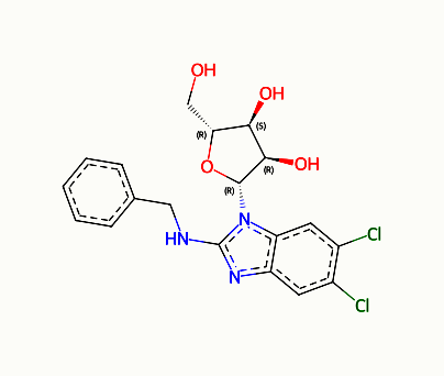 OC[C@H]1O[C@@H](n2c(NCc3ccccc3)nc3cc(Cl)c(Cl)cc32)[C@H](O)[C@@H]1O